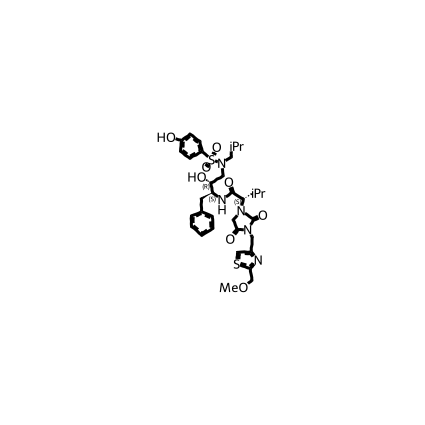 COCc1nc(CN2C(=O)CN([C@H](C(=O)N[C@@H](Cc3ccccc3)[C@H](O)CN(CC(C)C)S(=O)(=O)c3ccc(O)cc3)C(C)C)C2=O)cs1